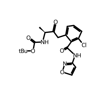 C[C@H](NC(=O)OC(C)(C)C)C(=O)Cc1cccc(Cl)c1C(=O)Nc1ccon1